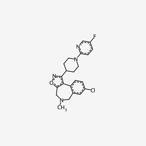 CN1Cc2cc(Cl)ccc2-c2c(C3CCN(c4ccc(F)cn4)CC3)noc2C1